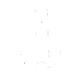 O[C@H](C[C@H]1CCc2sc3nccc(O[C@H]4CC[C@H](N5CCOCC5)CC4)c3c21)C(F)(F)F